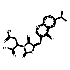 CC(C)c1ccc2occ(C=C3SC(=S)N(C(CC(=O)O)C(=O)O)C3=O)c(=O)c2c1